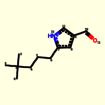 CC(C)(C)CCCc1cc(C=O)c[nH]1